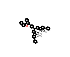 CC1(C)c2cc(-c3ccccc3)ccc2-c2ccc(C(c3ccc(-c4cc5ccccc5c5c4oc4ccc6ccccc6c45)cc3)c3ccc4c(c3)C(C)(C)c3cc(-c5ccccc5)ccc3-4)cc21